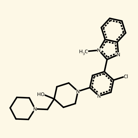 Cn1c(-c2cc(N3CCC(O)(CN4CCCCC4)CC3)ncc2Cl)nc2ccccc21